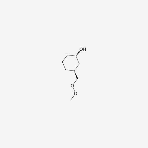 COOC[C@H]1CCC[C@@H](O)C1